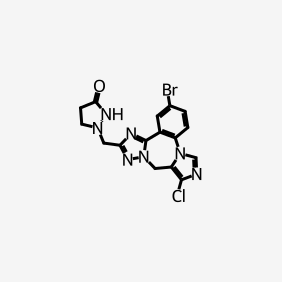 O=C1CCN(Cc2nc3n(n2)Cc2c(Cl)ncn2-c2ccc(Br)cc2-3)N1